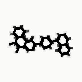 Cc1c(C)c2ccc(-c3ccc(-c4cccc5ccccc45)cc3)nc2c2ncccc12